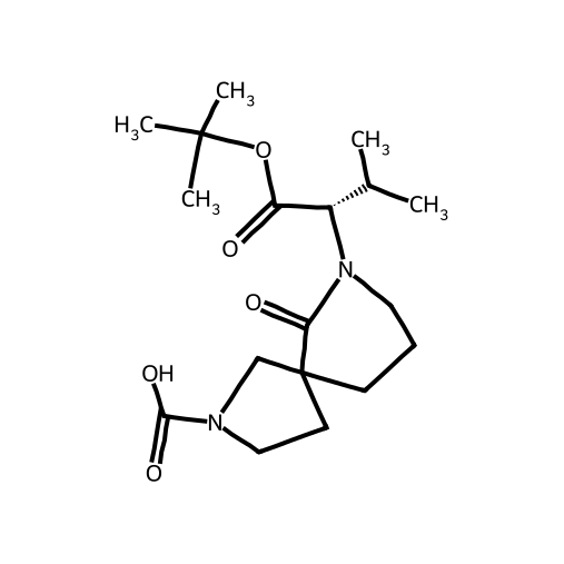 CC(C)[C@@H](C(=O)OC(C)(C)C)N1CCCC2(CCN(C(=O)O)C2)C1=O